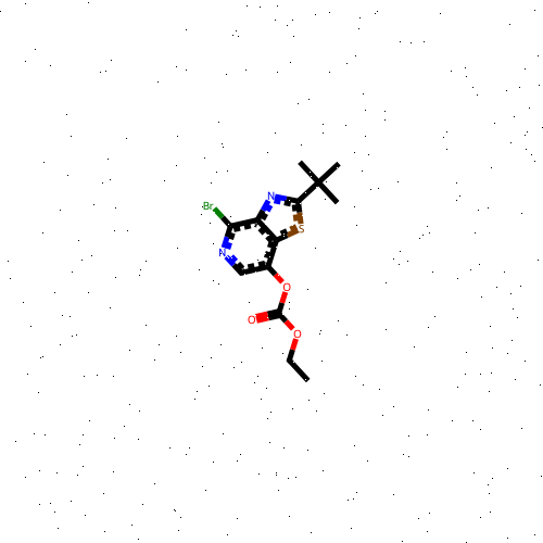 CCOC(=O)Oc1cnc(Br)c2nc(C(C)(C)C)sc12